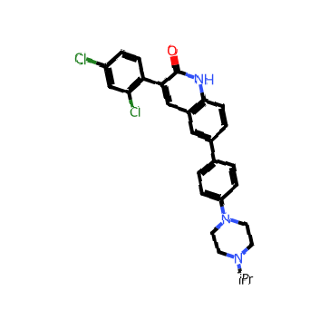 CC(C)N1CCN(c2ccc(-c3ccc4[nH]c(=O)c(-c5ccc(Cl)cc5Cl)cc4c3)cc2)CC1